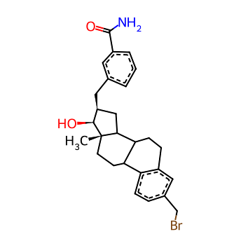 C[C@]12CCC3c4ccc(CBr)cc4CCC3C1C[C@H](Cc1cccc(C(N)=O)c1)[C@@H]2O